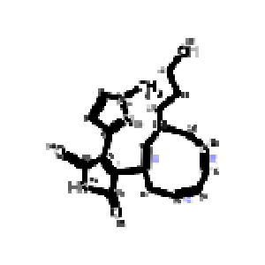 Cn1ccc(C2=C(/C3=C/N(CCCO)C/N=C\C=C/C3)C(=O)NC2=O)n1